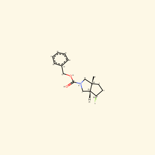 C[C@@]12CC[C@@H](F)[C@@H]1CN(C(=O)OCc1ccccc1)C2